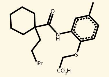 Cc1ccc(SCC(=O)O)c(NC(=O)C2(CCC(C)C)CCCCC2)c1